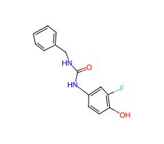 O=C(NCc1ccccc1)Nc1ccc(O)c(F)c1